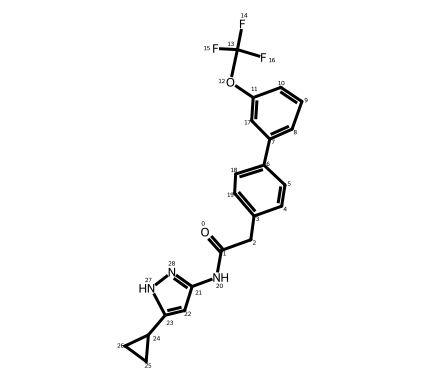 O=C(Cc1ccc(-c2cccc(OC(F)(F)F)c2)cc1)Nc1cc(C2CC2)[nH]n1